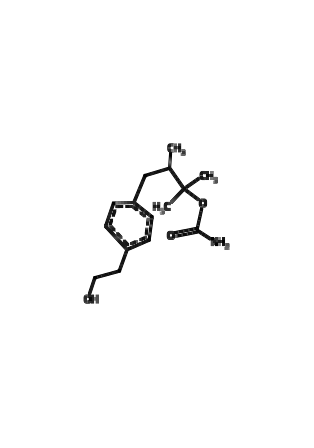 CC(Cc1ccc(CCO)cc1)C(C)(C)OC(N)=O